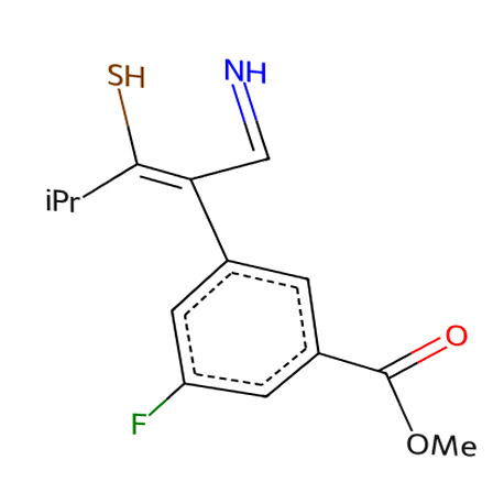 COC(=O)c1cc(F)cc(/C(C=N)=C(/S)C(C)C)c1